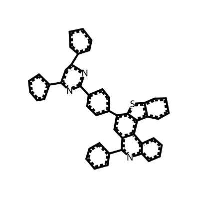 c1ccc(-c2cc(-c3ccccc3)nc(-c3ccc(-c4cc5c(-c6ccccc6)nc6ccccc6c5c5c4sc4ccccc45)cc3)n2)cc1